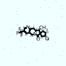 CC1C2Cc3ncc(C(F)(F)F)cc3CN2C(=O)C12CCC(=O)C2